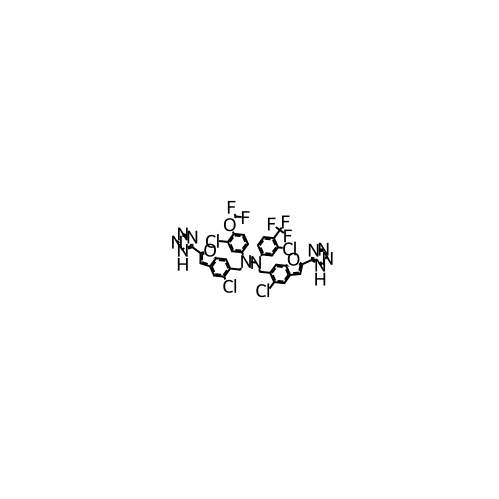 FC(F)Oc1ccc(N(Cc2cc3oc(-c4nnn[nH]4)cc3cc2Cl)N(Cc2cc3oc(-c4nnn[nH]4)cc3cc2Cl)c2ccc(C(F)(F)F)c(Cl)c2)cc1Cl